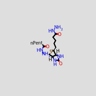 CCCCCC(=O)NN.NNC(=O)CCCC[C@@H]1SC[C@@H]2NC(=O)N[C@@H]21